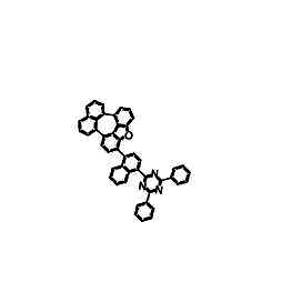 c1ccc(-c2nc(-c3ccccc3)nc(-c3ccc(-c4ccc5c6c4oc4cccc(c46)-c4cccc6cccc-5c46)c4ccccc34)n2)cc1